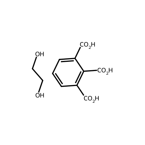 O=C(O)c1cccc(C(=O)O)c1C(=O)O.OCCO